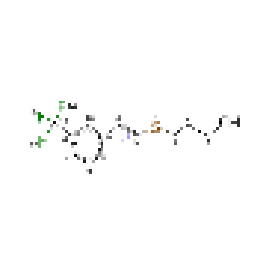 CCCCS/C=C/c1cccc(C(F)(F)F)c1